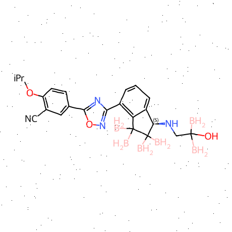 BC(B)(O)CN[C@@H]1c2cccc(-c3noc(-c4ccc(OC(C)C)c(C#N)c4)n3)c2C(B)(B)C1(B)B